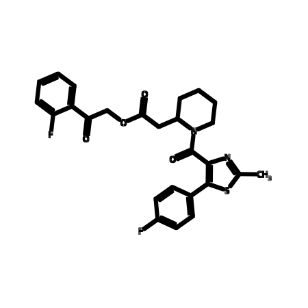 Cc1nc(C(=O)N2CCCCC2CC(=O)OCC(=O)c2ccccc2F)c(-c2ccc(F)cc2)s1